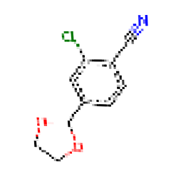 N#Cc1ccc(C2OCCO2)cc1Cl